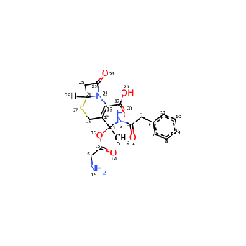 CC(NC(=O)Cc1ccccc1)(OC(=O)CN)C1=C(C(=O)O)N2C(=O)C[C@H]2SC1